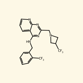 FC(F)(F)c1ccccc1CNc1nc(CN2CC(C(F)(F)F)C2)nc2ncccc12